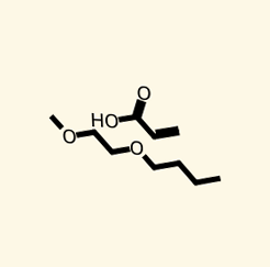 C=CC(=O)O.CCCCOCCOC